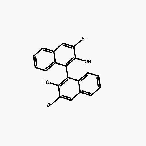 Oc1c(Br)cc2ccccc2c1-c1c(O)c(Br)cc2ccccc12